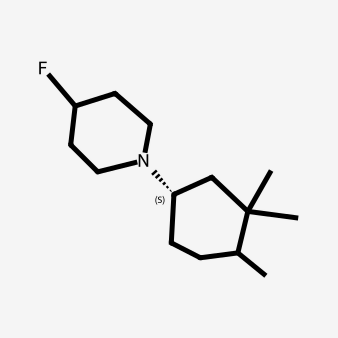 CC1CC[C@H](N2CCC(F)CC2)CC1(C)C